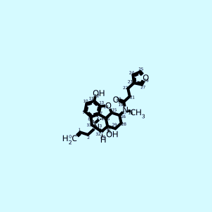 C=CCN1CC[C@]23c4c5ccc(O)c4OC2C(N(C)C(=O)CCc2ccoc2)CC[C@@]3(O)[C@H]1C5